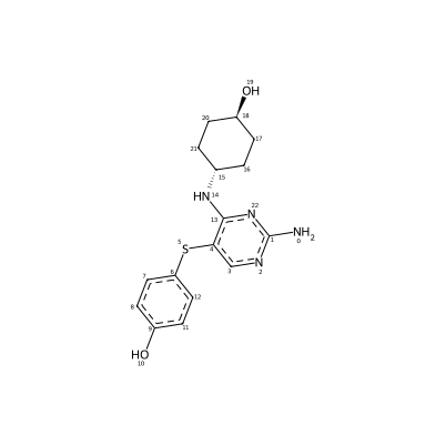 Nc1ncc(Sc2ccc(O)cc2)c(N[C@H]2CC[C@H](O)CC2)n1